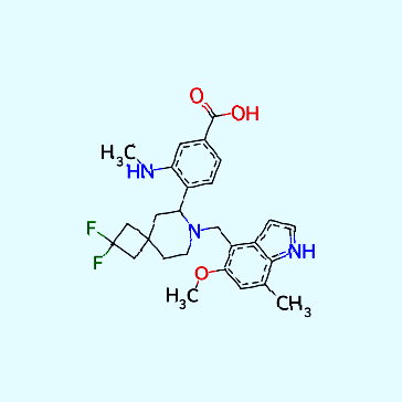 CNc1cc(C(=O)O)ccc1C1CC2(CCN1Cc1c(OC)cc(C)c3[nH]ccc13)CC(F)(F)C2